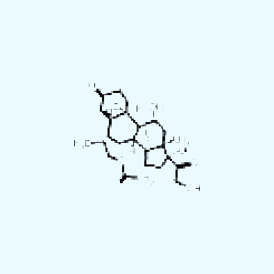 CCCOC(C)=O.C[C@]12CCC(=O)C=C1CC[C@@H]1[C@@H]2[C@@H](O)C[C@@]2(C)[C@H]1CC[C@]2(O)C(=O)CO